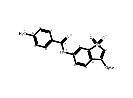 COC1=CS(=O)(=O)c2cc(NC(=O)c3ccc(C)cc3)ccc21